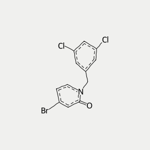 O=c1cc(Br)ccn1Cc1cc(Cl)cc(Cl)c1